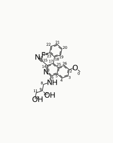 COc1ccc2c(NC[C@H](O)CO)nc(C#N)c(-c3ccccc3F)c2c1